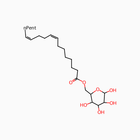 CCCCC/C=C\CC/C=C\CCCCCCC(=O)OCC1OC(O)C(O)C(O)C1O